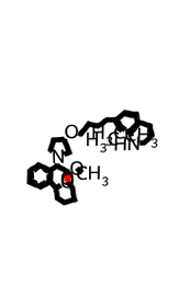 COC(=O)C(c1ccccc1C1CCCCO1)N1CCC(OCCCCC(/C=C\C2=C(C)NCCC2)=C(C)C)C1